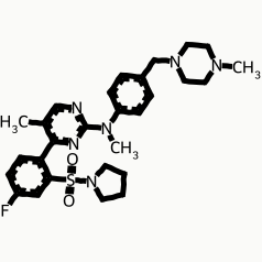 Cc1cnc(N(C)c2ccc(CN3CCN(C)CC3)cc2)nc1-c1ccc(F)cc1S(=O)(=O)N1CCCC1